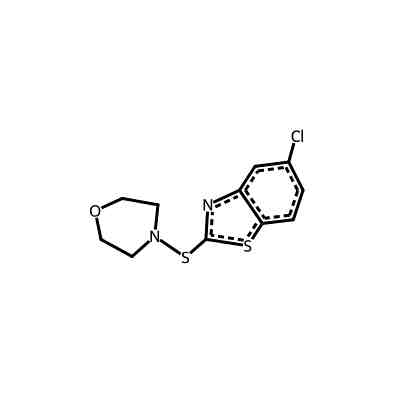 Clc1ccc2sc(SN3CCOCC3)nc2c1